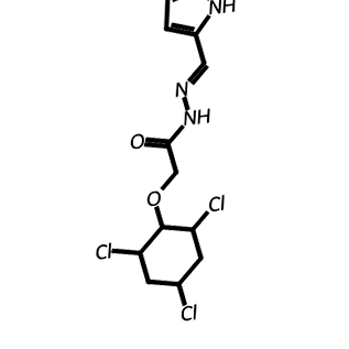 O=C(COC1C(Cl)CC(Cl)CC1Cl)N/N=C/c1ccc[nH]1